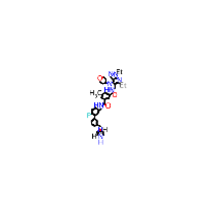 CCc1nc2c(cnn2CC)c(NC2CCOCC2)c1CNC(=O)c1cc(C)cc(C(=O)NCc2ccc(F)c(-c3cccc(CN4C[C@@H]5C[C@H]4CN5)c3)c2)c1